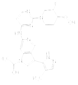 COC1CCN(c2nccc(Nc3cc4c(cn3)c(-c3[nH]ncc3C)cn4C(C)C)n2)CC1F